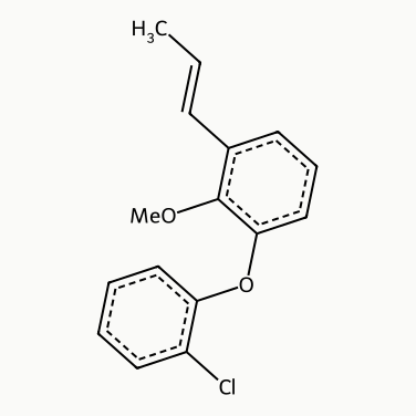 CC=Cc1cccc(Oc2ccccc2Cl)c1OC